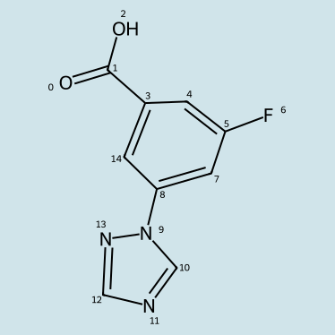 O=C(O)c1cc(F)cc(-n2cncn2)c1